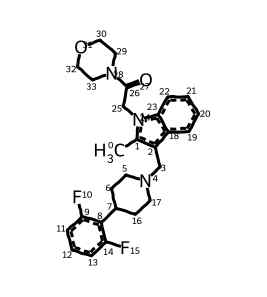 Cc1c(CN2CCC(c3c(F)cccc3F)CC2)c2ccccc2n1CC(=O)N1CCOCC1